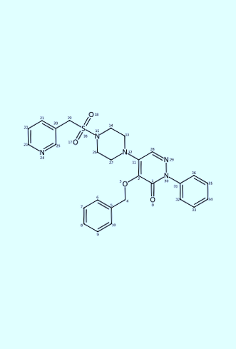 O=c1c(OCc2ccccc2)c(N2CCN(S(=O)(=O)Cc3cccnc3)CC2)cnn1-c1ccccc1